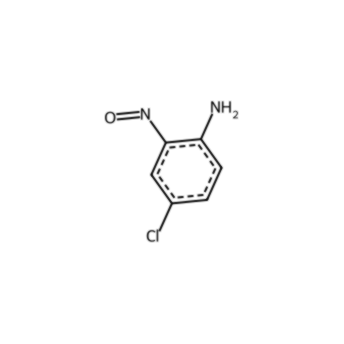 Nc1ccc(Cl)cc1N=O